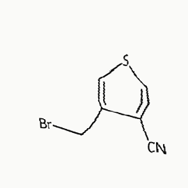 N#Cc1cscc1CBr